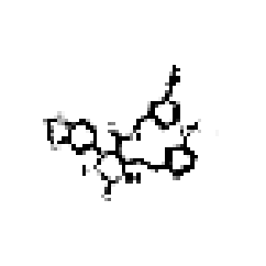 COc1cccc(CCC2=C(C(=O)OCc3cccc(C#N)c3)C(c3ccc4nccnc4c3)NC(=O)N2)c1